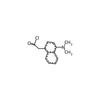 CN(C)c1ccc(CC(=O)Cl)c2ccccc12